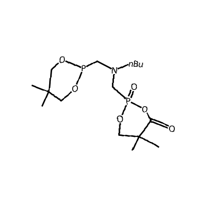 CCCCN(CP1OCC(C)(C)CO1)CP1(=O)OCC(C)(C)C(=O)O1